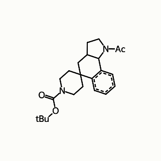 CC(=O)N1CCC2CC3(CCN(C(=O)OC(C)(C)C)CC3)c3ccccc3C21